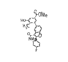 CNC(=O)c1c(-c2ccc(F)cc2)oc2ccc(-c3cc(C(=O)OC)cc(O)c3C)cc12